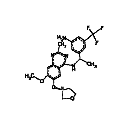 COc1cc2nc(C)nc(NC(C)c3cc(N)cc(C(F)(F)F)c3)c2cc1O[C@H]1CCOC1